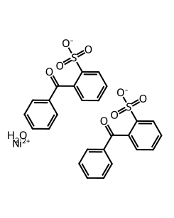 O.O=C(c1ccccc1)c1ccccc1S(=O)(=O)[O-].O=C(c1ccccc1)c1ccccc1S(=O)(=O)[O-].[Ni+2]